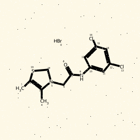 Br.CC1=C(C)N(CC(=O)Nc2cc(Cl)cc(Cl)c2)CS1